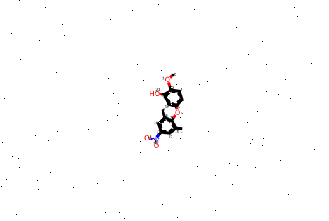 COc1ccc(Oc2c(C)cc([N+](=O)[O-])cc2C)cc1O